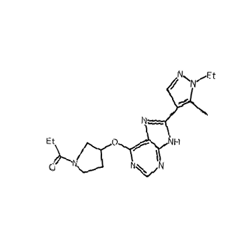 CCC(=O)N1CCC(Oc2ncnc3[nH]c(-c4cnn(CC)c4C)nc23)C1